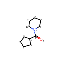 O=C([C]1CCCC1)N1CCCCC1